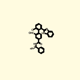 CCC[C@@H](NC(=O)c1ccc(-c2c(Cl)cccc2-c2nc3ccccc3[nH]2)c(C=O)c1)c1ccccc1